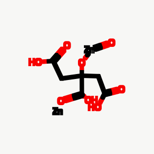 [O]=[Zn][O]C(CC(=O)O)(CC(=O)O)C(=O)O.[Zn]